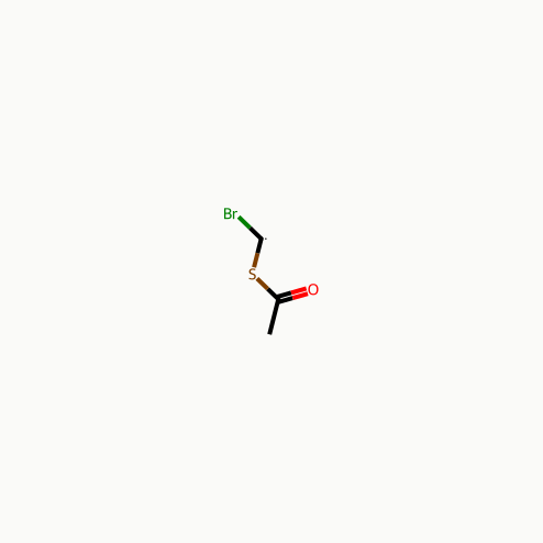 CC(=O)S[CH]Br